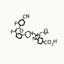 N#Cc1ccc([C@@H]2C=C(F)c3cccc(C4CCN(Cc5nc6ccc(C(=O)O)cc6n5C[C@@H]5CCO5)CC4)c3O2)c(F)c1